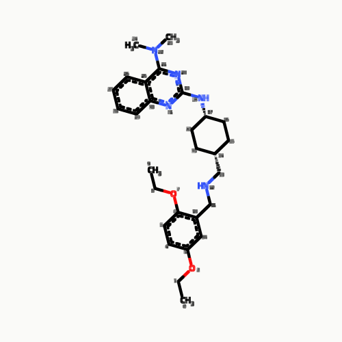 CCOc1ccc(OCC)c(CNC[C@H]2CC[C@@H](Nc3nc(N(C)C)c4ccccc4n3)CC2)c1